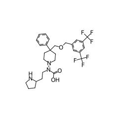 O=C(O)N(CCC1CCCN1)N1CCC(COCc2cc(C(F)(F)F)cc(C(F)(F)F)c2)(c2ccccc2)CC1